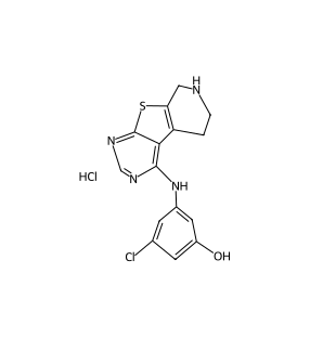 Cl.Oc1cc(Cl)cc(Nc2ncnc3sc4c(c23)CCNC4)c1